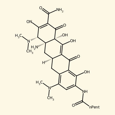 CCCCCC(=O)Nc1cc(N(C)C)c2c(c1O)C(=O)C1=C(O)[C@]3(O)C(=O)C(C(N)=O)=C(N=O)[C@@H](N(C)C)[C@]3(N)C[C@@H]1C2